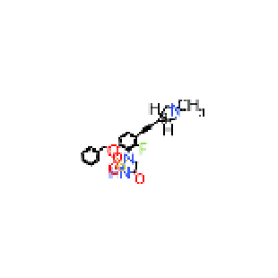 CN1C[C@@H]2C(C#Cc3ccc(OCc4ccccc4)c(N4CC(=O)NS4(=O)=O)c3F)[C@@H]2C1